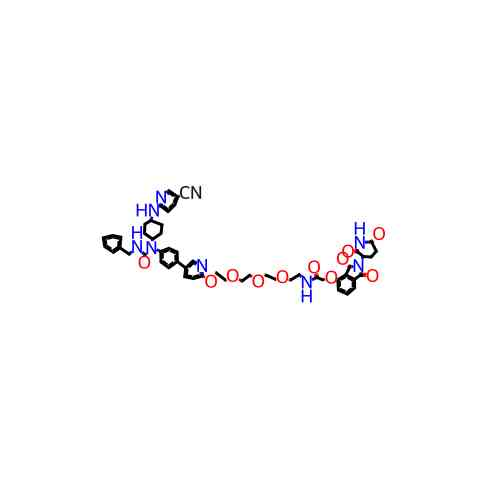 N#Cc1ccc(NC2CCC(N(C(=O)NCc3ccccc3)c3ccc(-c4ccc(OCCOCCOCCOCCNC(=O)COc5cccc6c5C(=O)N(C5CCC(=O)NC5=O)C6=O)nc4)cc3)CC2)nc1